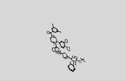 Cc1cc(C)cc(C(=O)N2CCN(C(=O)CNC3CC4CC3CN4C(=O)[C@@H](Cc3ccccc3)NC(=O)OC(C)(C)C)[C@H](c3ccc(Cl)c(Cl)c3)C2)c1